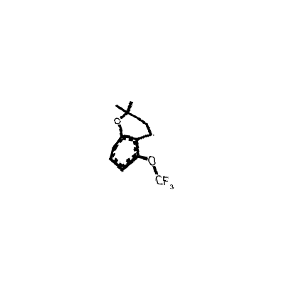 CC1(C)C[CH]c2c(OC(F)(F)F)cccc2O1